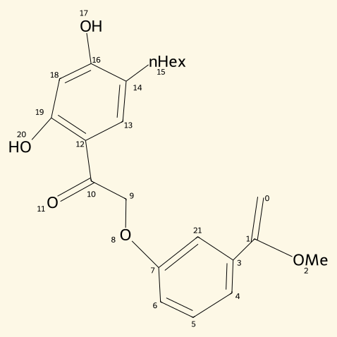 C=C(OC)c1cccc(OCC(=O)c2cc(CCCCCC)c(O)cc2O)c1